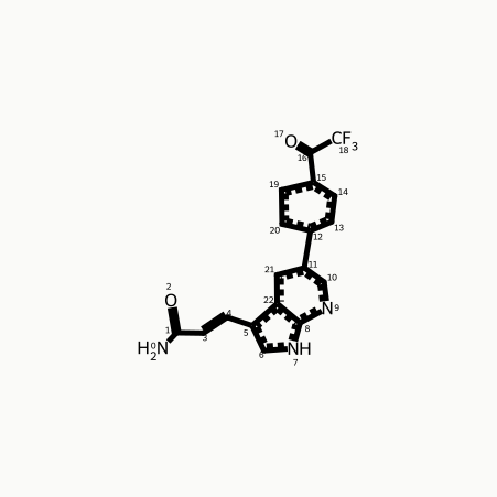 NC(=O)C=Cc1c[nH]c2ncc(-c3ccc(C(=O)C(F)(F)F)cc3)cc12